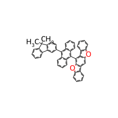 CC1(C)c2ccccc2-c2cc(-c3c4ccccc4c(-c4c5oc6ccccc6c5cc5oc6ccccc6c45)c4ccccc34)ccc21